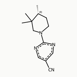 C[C@@H]1CCN(c2ncc(C#N)cn2)CC1(C)C